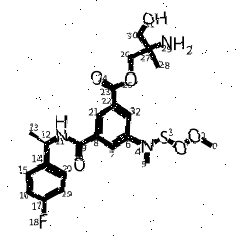 COOSN(C)c1cc(C(=O)N[C@H](C)c2ccc(F)cc2)cc(C(=O)OCC(C)(N)CO)c1